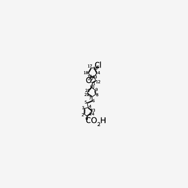 O=C(O)c1ccc(/C=C/c2ccc(-c3cc4cc(Cl)ccc4o3)cc2)cc1